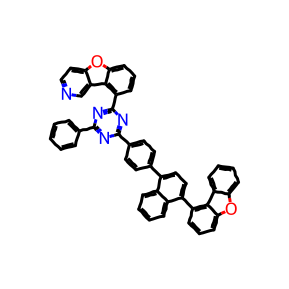 c1ccc(-c2nc(-c3ccc(-c4ccc(-c5cccc6oc7ccccc7c56)c5ccccc45)cc3)nc(-c3cccc4oc5ccncc5c34)n2)cc1